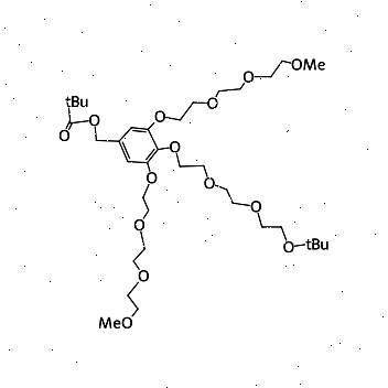 COCCOCCOCCOc1cc(COC(=O)C(C)(C)C)cc(OCCOCCOCCOC)c1OCCOCCOCCOC(C)(C)C